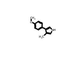 COc1ccc(-c2c[nH]cc2C)cc1